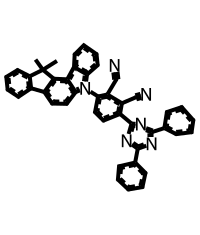 CC1(C)c2ccccc2-c2ccc3c(c21)c1ccccc1n3-c1ccc(-c2nc(-c3ccccc3)nc(-c3ccccc3)n2)c(C#N)c1C#N